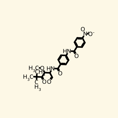 COC(C(=O)C(C)(C)C)C(C=O)NC(=O)c1ccc(NC(=O)c2ccc([N+](=O)[O-])cc2)cc1